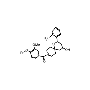 COc1cc(C(=O)N2CCC3(CC2)C[C@H](O)C[C@H](c2ccccc2C)O3)ccc1OC(C)C